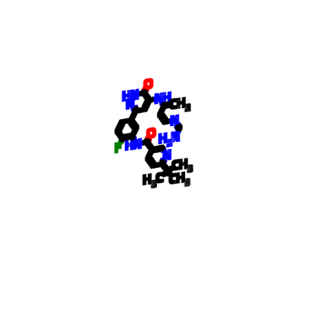 C=C(/C=C\N=C/N)Nc1cc(-c2ccc(F)c(NC(=O)c3ccc(C(C)(C)C)nc3)c2)n[nH]c1=O